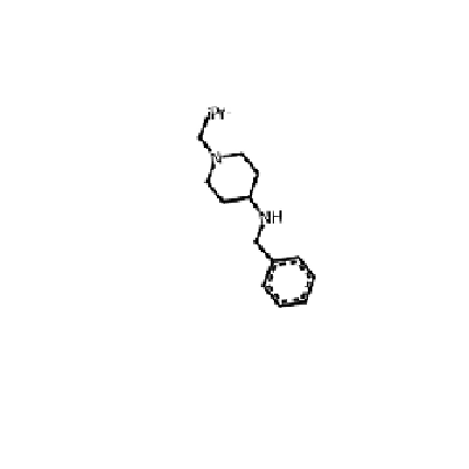 C[C](C)CN1CCC(NCc2ccccc2)CC1